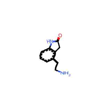 NCCc1cccc2c1CC(=O)N2